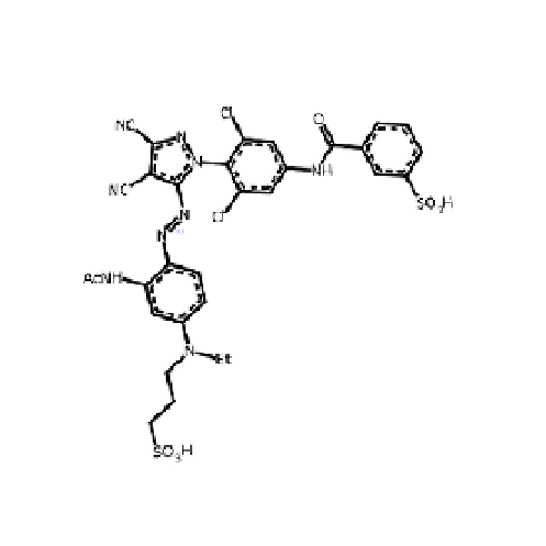 CCN(CCCS(=O)(=O)O)c1ccc(/N=N/c2c(C#N)c(C#N)nn2-c2c(Cl)cc(NC(=O)c3cccc(S(=O)(=O)O)c3)cc2Cl)c(NC(C)=O)c1